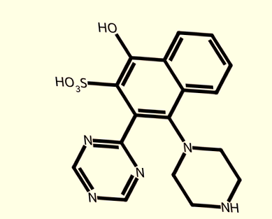 O=S(=O)(O)c1c(-c2ncncn2)c(N2CCNCC2)c2ccccc2c1O